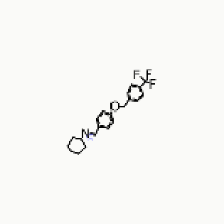 FC(F)(F)c1ccc(COc2ccc(/C=N/C3CCCCC3)cc2)cc1